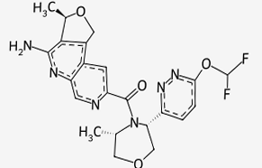 C[C@H]1OCc2c1c(N)nc1cnc(C(=O)N3[C@@H](C)COC[C@H]3c3ccc(OC(F)F)nn3)cc21